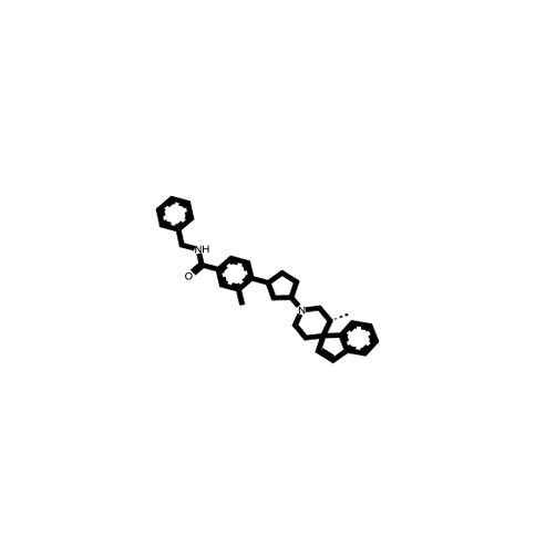 Cc1cc(C(=O)NCc2ccccc2)ccc1C1CCC(N2CCC3(C=Cc4ccccc43)[C@@H](C)C2)C1